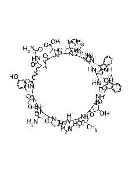 CCCC[C@H]1C(=O)N[C@@H](CCC(=O)O)C(=O)NC(C(=O)NCC(N)=O)CSCC(=O)N[C@@H](Cc2ccc(O)cc2)C(=O)N2CCOC[C@H]2C(=O)N[C@@H](CC(N)=O)C(=O)N2CCC[C@H]2C(=O)N[C@@H](CN)C(=O)N[C@@H](CC(C)C)C(=O)C2C[C@H](O)C[C@H]2C(=O)N[C@@H](Cc2c[nH]c3ccccc23)C(=O)N[C@@H](CO)C(=O)N[C@@H](Cc2c[nH]c3ccccc23)c2nnnn2[C@@H](CCCC)C(=O)N1C